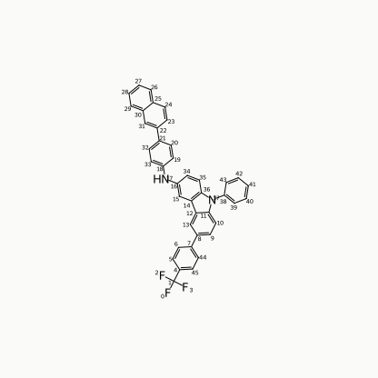 FC(F)(F)c1ccc(-c2ccc3c(c2)c2cc(Nc4ccc(-c5ccc6ccccc6c5)cc4)ccc2n3-c2ccccc2)cc1